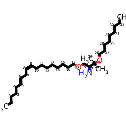 CCCCCC=CC/C=C\CCCCCCCCOCC(N)C(C)(C)OCCCCCCCCC